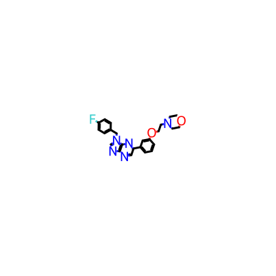 Fc1ccc(Cn2cnc3ncc(-c4cccc(OCCN5CCOCC5)c4)nc32)cc1